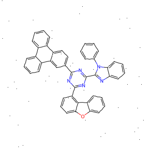 c1ccc(-n2c(-c3nc(-c4ccc5c6ccccc6c6ccccc6c5c4)nc(-c4cccc5oc6ccccc6c45)n3)nc3ccccc32)cc1